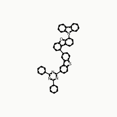 c1ccc(-c2nc(-c3ccccc3)nc(-c3ccc4sc5ccc(-c6cccc7oc8c(-n9c%10ccccc%10c%10ccccc%109)cccc8c67)cc5c4c3)n2)cc1